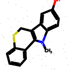 Cn1c2c(c3cc(O)ccc31)CSc1ccccc1-2